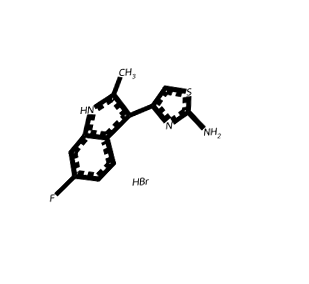 Br.Cc1[nH]c2cc(F)ccc2c1-c1csc(N)n1